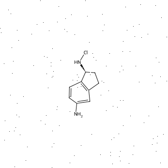 Nc1ccc2c(c1)CC[C@@H]2NCl